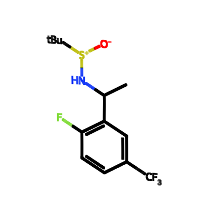 CC(N[S+]([O-])C(C)(C)C)c1cc(C(F)(F)F)ccc1F